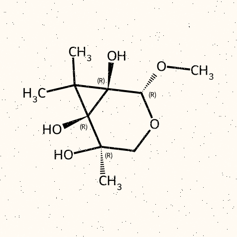 CO[C@@H]1OC[C@@](C)(O)[C@]2(O)C(C)(C)[C@]12O